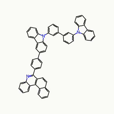 c1cc(-c2cccc(-n3c4ccccc4c4cc(-c5ccc(-c6nc7ccccc7c7c6ccc6ccccc67)cc5)ccc43)c2)cc(-n2c3ccccc3c3ccccc32)c1